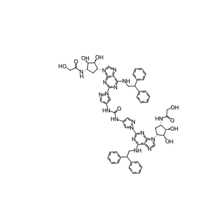 O=C(CO)N[C@H]1C[C@@H](n2cnc3c(NCC(c4ccccc4)c4ccccc4)nc(-n4cc(NC(=O)Nc5cnn(-c6nc(NCC(c7ccccc7)c7ccccc7)c7ncn([C@@H]8C[C@H](NC(=O)CO)[C@@H](O)[C@H]8O)c7n6)c5)cn4)nc32)[C@H](O)[C@@H]1O